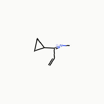 C=C/C(=N\C)C1CC1